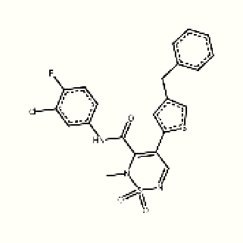 CN1C(C(=O)Nc2ccc(F)c(Cl)c2)=C(c2cc(Cc3ccccc3)cs2)C=NS1(=O)=O